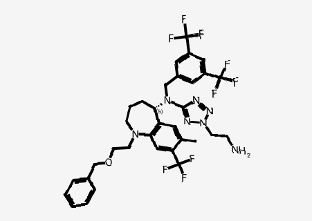 Cc1cc2c(cc1C(F)(F)F)N(CCOCc1ccccc1)CCC[C@@H]2N(Cc1cc(C(F)(F)F)cc(C(F)(F)F)c1)c1nnn(CCN)n1